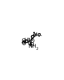 CC[C@H]1c2ccc(C(=O)N[C@@H](COC(N)=O)c3ccc(S(=O)(=O)CC)cc3)cc2CN1C[C@H]1CC[C@H](C)CC1